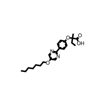 CCCCCCCOc1cnc(-c2ccc(OC(C)(CC)C(=O)O)cc2)nc1